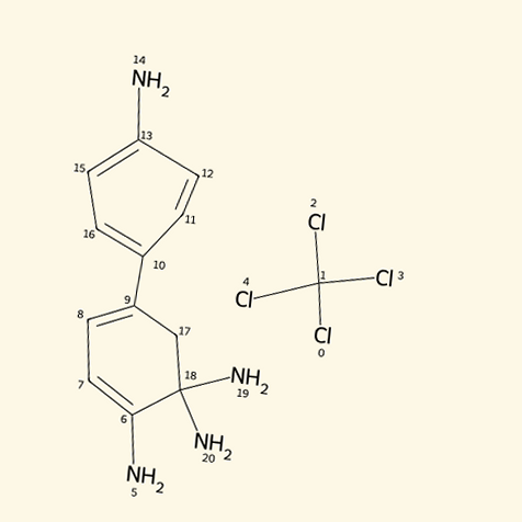 ClC(Cl)(Cl)Cl.NC1=CC=C(c2ccc(N)cc2)CC1(N)N